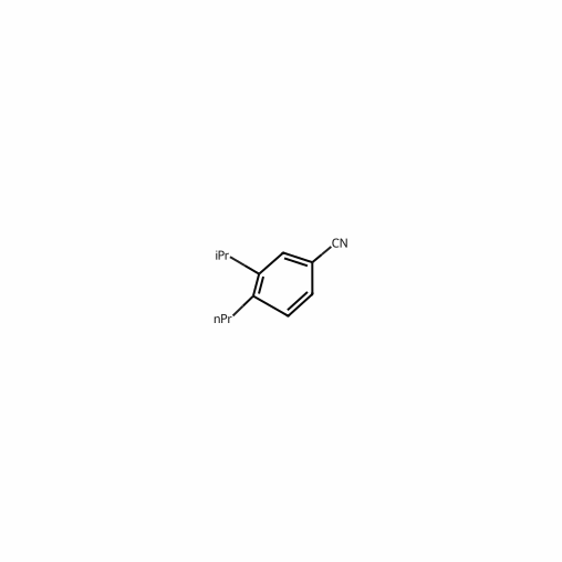 [CH2]C(C)c1cc(C#N)ccc1CCC